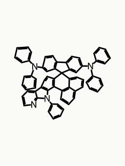 c1ccc(N(c2ccccc2)c2ccc3c(c2)C2(c4cc(N(c5ccccc5)c5ccccc5)ccc4-3)c3ccc4c5cccnc5n(-c5ccccc5)c4c3-c3cccc4cccc2c34)cc1